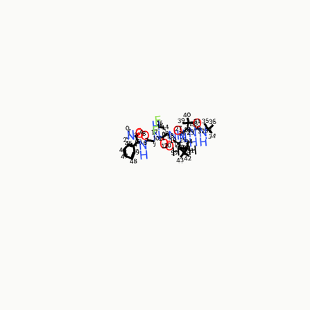 CN(C)C(=O)[C@@H](NC(=O)CNC(=O)[C@H](CC(F)F)NC(=O)[C@@H]1[C@@H]2[C@H](CN1C(=O)[C@@H](NC(=O)NC(C)(C)C)C(C)(C)C)C2(C)C)c1ccccc1